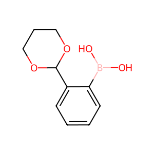 OB(O)c1ccccc1C1OCCCO1